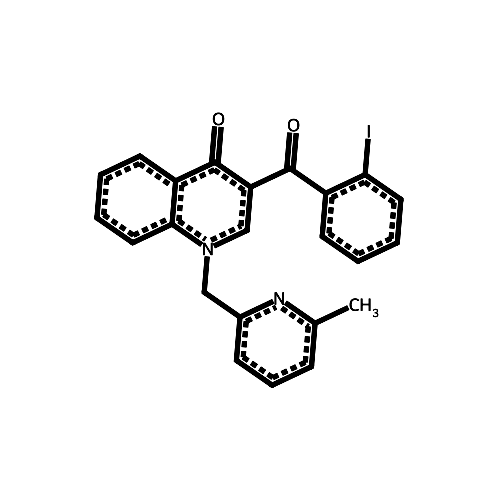 Cc1cccc(Cn2cc(C(=O)c3ccccc3I)c(=O)c3ccccc32)n1